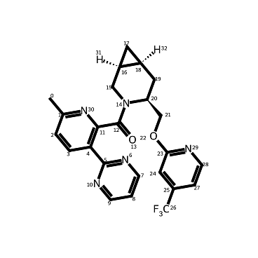 Cc1ccc(-c2ncccn2)c(C(=O)N2C[C@H]3C[C@H]3C[C@H]2COc2cc(C(F)(F)F)ccn2)n1